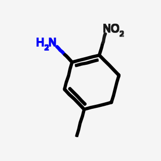 CC1=CC(N)=C([N+](=O)[O-])CC1